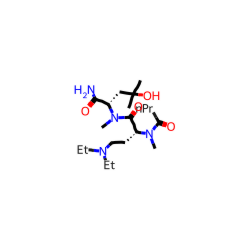 CCCC(=O)N(C)[C@H](CCN(CC)CC)C(=O)N(C)[C@@H](CC(C)(C)O)C(N)=O